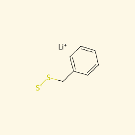 [Li+].[S-]SCc1ccccc1